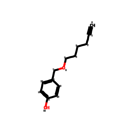 C#CCCCCOCc1ccc(O)cc1